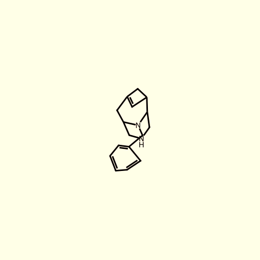 C1=C2CC1C1CNCC(C2)N1Cc1ccccc1